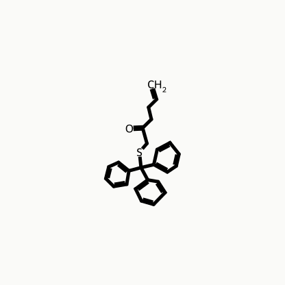 C=CCCC(=O)CSC(c1ccccc1)(c1ccccc1)c1ccccc1